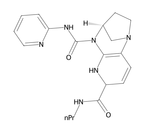 CCCNC(=O)C1C=CC2=C(N1)N(C(=O)Nc1ccccn1)[C@H]1CCN2C1